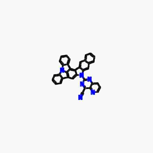 N#Cc1nc(-n2c3cc4ccccc4cc3c3c4c5ccccc5n5c6ccccc6c(cc32)c45)nc2cccnc12